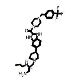 CCCN/C(=C\N)CN1CCC(c2ccc3c(c2)NC(C(=O)N2CCN(Cc4ccc(C(F)(F)F)cc4)CC2)N3)CC1